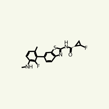 CNc1ccc(C)c(-c2ccc3nc(NC(=O)[C@@H]4CC4F)sc3c2)c1F